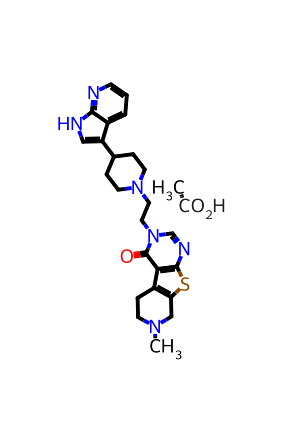 CC(=O)O.CN1CCc2c(sc3ncn(CCN4CCC(c5c[nH]c6ncccc56)CC4)c(=O)c23)C1